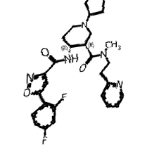 CN(CCc1ccccn1)C(=O)[C@@H]1CN(C2CCCC2)CC[C@H]1NC(=O)c1cc(-c2ccc(F)cc2F)on1